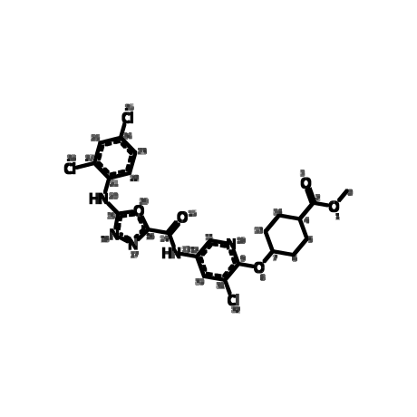 COC(=O)C1CCC(Oc2ncc(NC(=O)c3nnc(Nc4ccc(Cl)cc4Cl)o3)cc2Cl)CC1